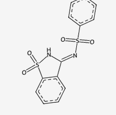 O=S(=O)(N=C1NS(=O)(=O)c2ccccc21)c1ccccc1